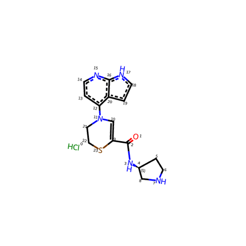 Cl.O=C(N[C@H]1CCNC1)C1=CN(c2ccnc3[nH]ccc23)CCS1